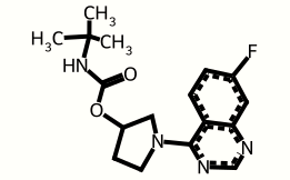 CC(C)(C)NC(=O)OC1CCN(c2ncnc3cc(F)ccc23)C1